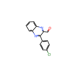 O=Cc1nc2ccccc2nc1-c1ccc(Cl)cc1